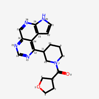 O=C(C1CCOC1)N1CCCC(c2ncnc3cnc4[nH]ccc4c23)C1